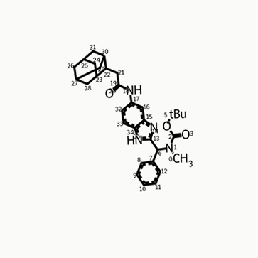 CN(C(=O)OC(C)(C)C)C(c1ccccc1)c1nc2cc(NC(=O)CC3C4CC5CC(C4)CC3C5)ccc2[nH]1